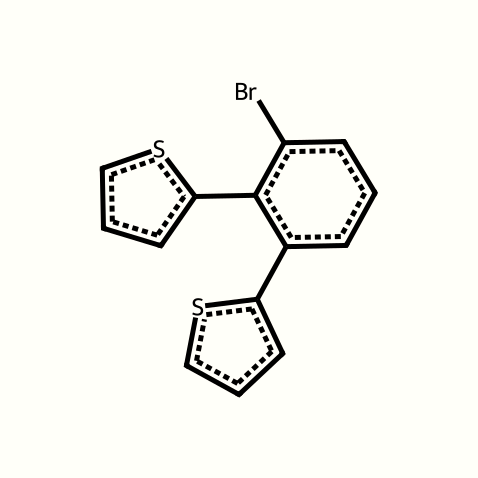 Brc1cccc(-c2cccs2)c1-c1cccs1